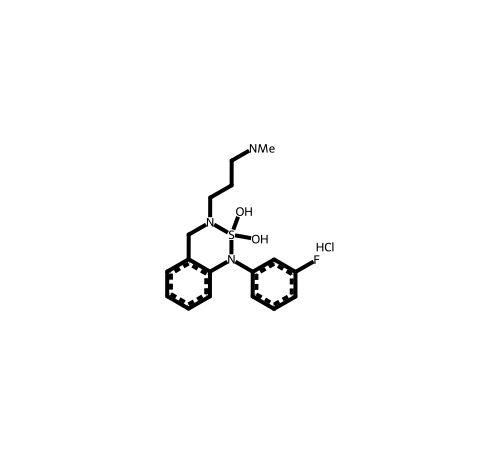 CNCCCN1Cc2ccccc2N(c2cccc(F)c2)S1(O)O.Cl